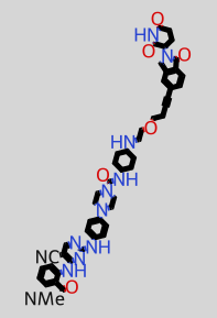 CNC(=O)c1ccccc1Nc1nc(Nc2ccc(N3CCN(C(=O)N[C@H]4CC[C@H](NCCOCCC#Cc5ccc6c(c5)CN(C5CCC(=O)NC5=O)C6=O)CC4)CC3)cc2)ncc1C#N